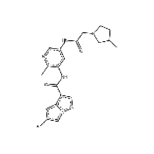 Cc1ncc(NC(=O)CN2CCC(C)C2)cc1NC(=O)c1cnn2cc(Br)sc12